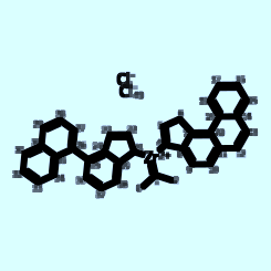 C[C](C)=[Zr+2]([C]1=CCc2c1ccc1ccc3ccccc3c21)[CH]1C=Cc2c(-c3cccc4ccccc34)cccc21.[Cl-].[Cl-]